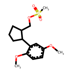 COc1ccc(OC)c(C2CCCC2COS(C)(=O)=O)c1